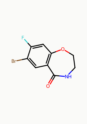 O=C1NCCOc2cc(F)c(Br)cc21